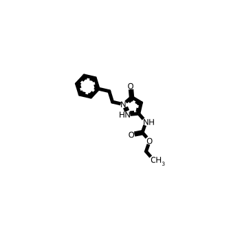 CCOC(=O)Nc1cc(=O)n(CCc2ccccc2)[nH]1